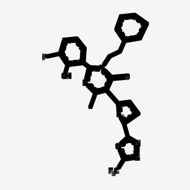 Cc1nc(-c2cccc(F)c2O)n(CCc2ccccc2)c(=O)c1-c1ccc(-c2nnc(C(F)(F)F)o2)s1